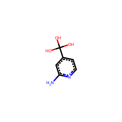 Nc1cc(C(O)(O)O)ccn1